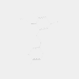 COOc1c(O)cc(O)cc1C=Cc1ccc(O)cc1